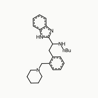 CCCCNC(Cc1ccccc1CN1CCCCC1)c1nc2ccccc2[nH]1